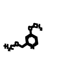 [CH2]OCc1cc(OC)ccn1